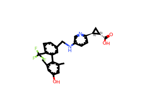 Cc1cc(O)cc(C)c1-c1cc(CNc2ccc([C@H]3C[C@@H]3C(=O)O)nc2)ccc1C(F)(F)F